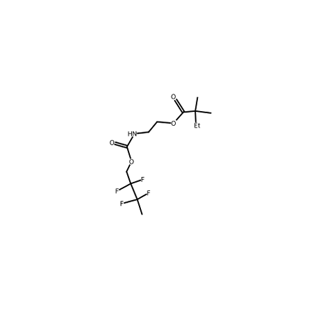 CCC(C)(C)C(=O)OCCNC(=O)OCC(F)(F)C(C)(F)F